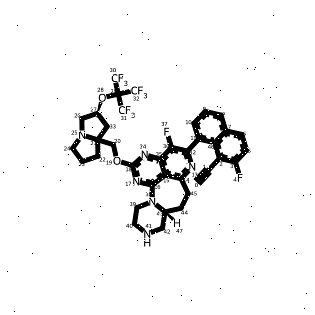 C#Cc1c(F)ccc2cccc(-c3nc4c5c(nc(OCC67CCCN6C[C@@H](OC(C(F)(F)F)(C(F)(F)F)C(F)(F)F)C7)nc5c3F)N3CCNC[C@H]3CC4)c12